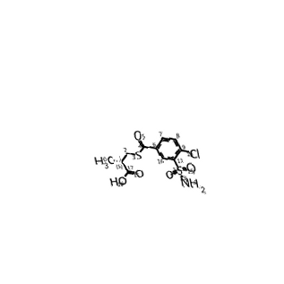 C[C@H](CSC(=O)c1ccc(Cl)c(S(N)(=O)=O)c1)C(=O)O